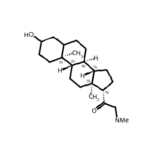 CNCC(=O)[C@H]1CC[C@H]2[C@@H]3CCC4CC(O)CC[C@]4(C)[C@H]3CC[C@]12C